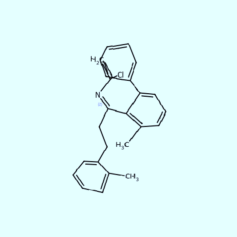 C=C(Cl)/N=C(/CCc1ccccc1C)c1c(C)cccc1-c1ccccc1